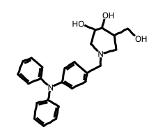 OCC1CN(Cc2ccc(N(c3ccccc3)c3ccccc3)cc2)CC(O)C1O